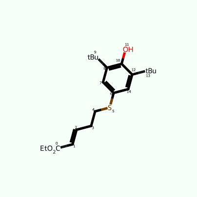 CCOC(=O)C=CCCSc1cc(C(C)(C)C)c(O)c(C(C)(C)C)c1